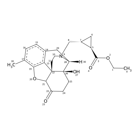 CCOC(=O)[C@@H]1C[C@H]1CN1CC[C@]23c4c5ccc(C)c4OC2C(=O)CC[C@@]3(O)[C@H]1C5